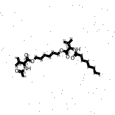 CCCCCCCC(=O)NC(C(=O)OCCCCCCOC(=O)C(NC(C)=O)C(C)C)C(C)C